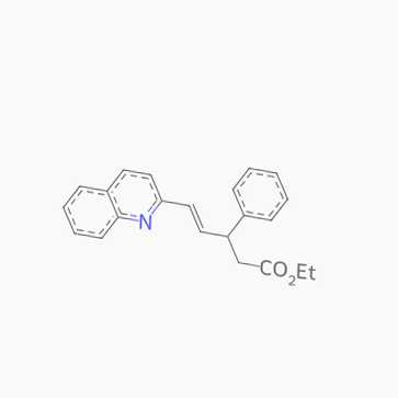 CCOC(=O)CC(C=Cc1ccc2ccccc2n1)c1ccccc1